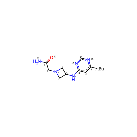 CC(C)(C)c1cc(NC2CN(CC(N)=O)C2)ncn1